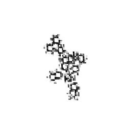 c1cc(-c2nc(-c3ccc4ccccc4c3)nc(-c3ccc4ccccc4c3)n2)cc(-c2c3c(cc4c(-c5ccc6c7ccccc7c7ccccc7c6c5)nc5ccccc5c24)oc2ccccc23)c1